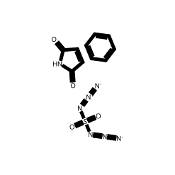 O=C1C=CC(=O)N1.[N-]=[N+]=NS(=O)(=O)N=[N+]=[N-].c1ccccc1